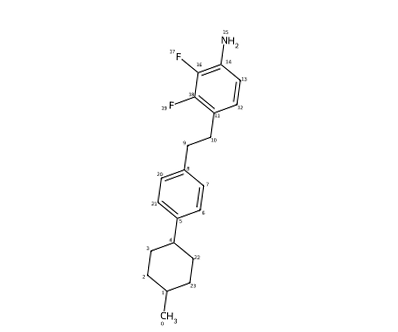 CC1CCC(c2ccc(CCc3ccc(N)c(F)c3F)cc2)CC1